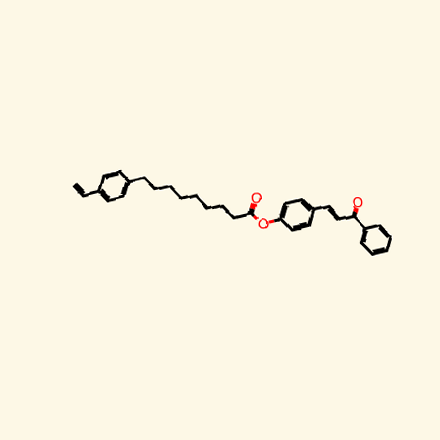 C=Cc1ccc(CCCCCCCCC(=O)Oc2ccc(C=CC(=O)c3ccccc3)cc2)cc1